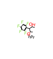 CCCOC(C)C(c1c(F)c(F)c(F)c(F)c1F)C(C)O